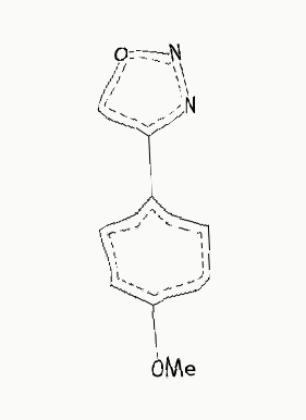 COc1ccc(-c2conn2)cc1